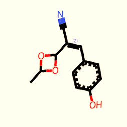 CC1OC(/C(C#N)=C\c2ccc(O)cc2)O1